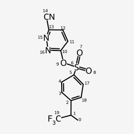 CC(c1ccc(S(=O)(=O)Oc2ccc(C#N)nn2)cc1)C(F)(F)F